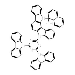 CC1(n2c3ccccc3c3ccc4c(c5ccccc5n4-c4nc(-n5c6ccccc6c6ccccc65)nc(-n5c6ccccc6c6ccccc65)n4)c32)C=CC=C2C=CC=CC21